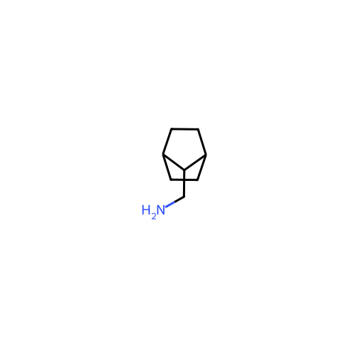 NCC1C2CCC1CC2